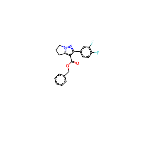 O=C(OCc1ccccc1)c1c(-c2ccc(F)c(F)c2)nn2c1CCC2